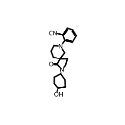 [C-]#[N+]c1ccccc1N1CCC[C@]2(CCN([C@H]3CC[C@H](O)CC3)C2=O)C1